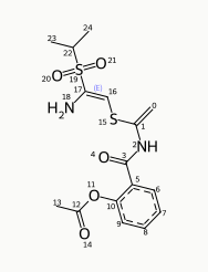 C=C(NC(=O)c1ccccc1OC(C)=O)S/C=C(\N)S(=O)(=O)C(C)C